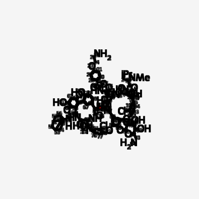 CN[C@H](CC(C)C)C(=O)N[C@H]1C(=O)N[C@@H](CC(=O)NS(=O)(=O)c2ccc(OCCN)cc2)C(=O)N[C@H]2C(=O)N[C@H]3C(=O)N[C@H](C(=O)N[C@H](C(=O)NC4C5CC6CC(C5)CC4C6)c4cc(O)cc(O)c4-c4cc3ccc4O)[C@H](O)c3ccc(c(Cl)c3)Oc3cc2cc(c3O[C@@H]2O[C@H](CN)[C@@H](O)[C@H](O)[C@H]2O)Oc2ccc(cc2Cl)[C@H]1O